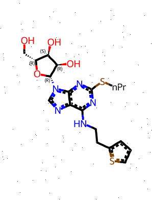 CCCSc1nc(NCCc2cccs2)c2ncn([C@@H]3O[C@H](CO)[C@@H](O)[C@H]3O)c2n1